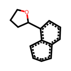 c1ccc2c(C3CCCO3)cccc2c1